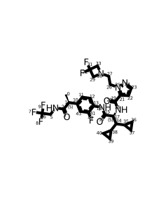 C[C@H](C(=O)NCC(F)(F)F)c1ccc(NC(=O)[C@@H](NC(=O)c2ccnn2CCN2CC(F)(F)C2)C(C2CC2)C2CC2)c(F)c1